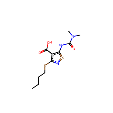 CCCCSc1nsc(NC(=O)N(C)C)c1C(=O)O